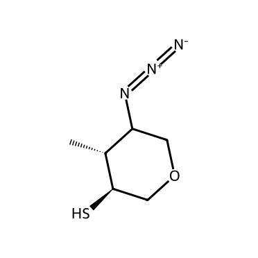 C[C@@H]1C(N=[N+]=[N-])COC[C@H]1S